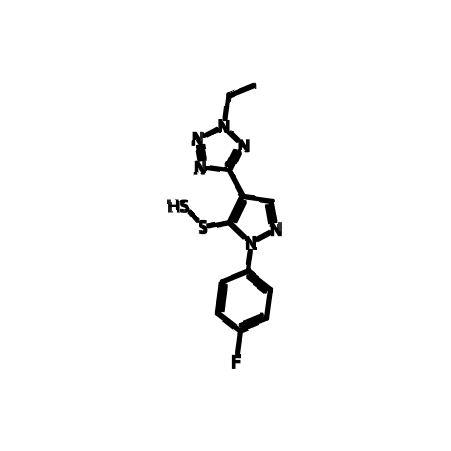 CCn1nnc(-c2cnn(-c3ccc(F)cc3)c2SS)n1